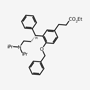 CCOC(=O)CCc1ccc(OCc2ccccc2)c([C@H](CCN(C(C)C)C(C)C)c2ccccc2)c1